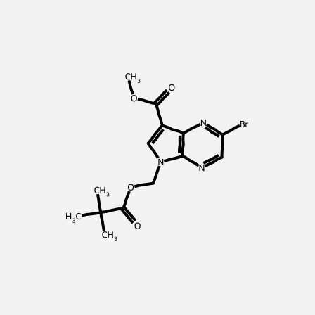 COC(=O)c1cn(COC(=O)C(C)(C)C)c2ncc(Br)nc12